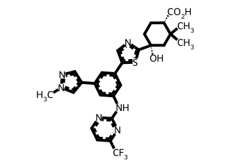 Cn1cc(-c2cc(Nc3nccc(C(F)(F)F)n3)cc(-c3cnc([C@@]4(O)CC[C@H](C(=O)O)C(C)(C)C4)s3)c2)cn1